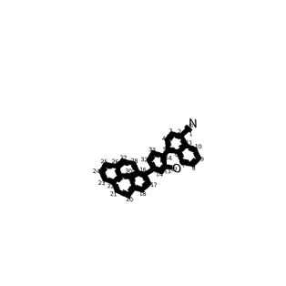 N#Cc1ccc2c3c(cccc13)Oc1cc(-c3ccc4ccc5cccc6ccc3c4c56)ccc1-2